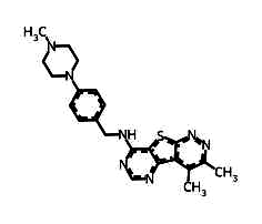 Cc1nnc2sc3c(NCc4ccc(N5CCN(C)CC5)cc4)ncnc3c2c1C